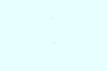 O=C(CSc1ncccc1Cl)N1CCCc2ccccc21